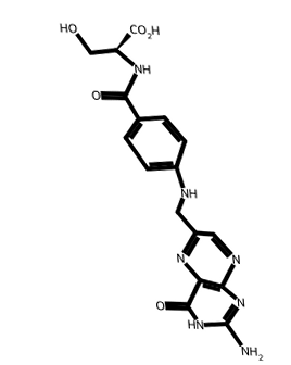 Nc1nc2ncc(CNc3ccc(C(=O)N[C@@H](CO)C(=O)O)cc3)nc2c(=O)[nH]1